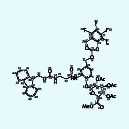 COC(=O)[C@H]1O[C@@H](Oc2ccc(COC(=O)Oc3c(F)c(F)c(F)c(F)c3F)cc2NC(=O)CCNC(=O)OCC2c3ccccc3-c3ccccc32)[C@H](OC(C)=O)[C@@H](OC(C)=O)[C@@H]1OC(C)=O